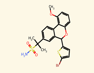 COc1cccc2c1-c1ccc(C(C)(C)S(N)(=O)=O)cc1C(c1ccc(Br)s1)O2